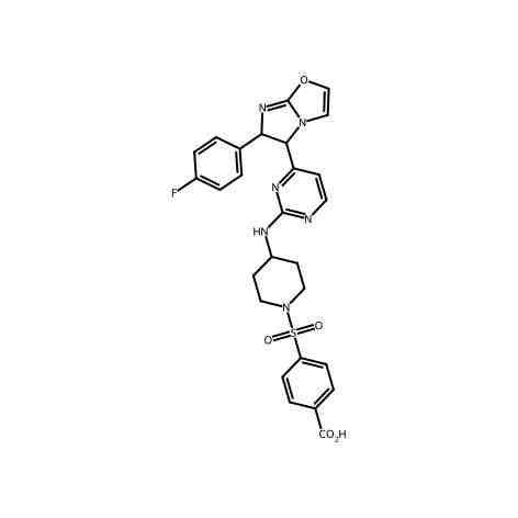 O=C(O)c1ccc(S(=O)(=O)N2CCC(Nc3nccc(C4C(c5ccc(F)cc5)N=C5OC=CN54)n3)CC2)cc1